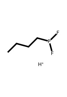 CCCCP(F)F.[H+]